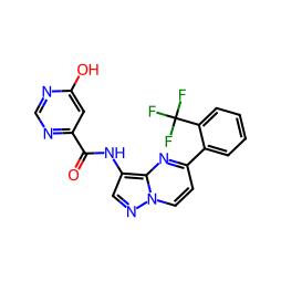 O=C(Nc1cnn2ccc(-c3ccccc3C(F)(F)F)nc12)c1cc(O)ncn1